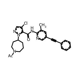 CC(=O)N1CCCC(n2ncc(Cl)c2C(=O)Nc2ncc(C#Cc3ccccc3)cc2C)CC1